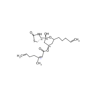 C=CCCCC1C[C@@H](OC(=O)/C=C(/C)CCC=C)C[C@](O)([C@@H]2CSC(=O)N2)O1